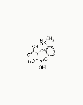 CC(O)c1ccccc1.O=C(O)C(O)C(O)C(=O)O